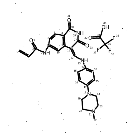 C=CC(=O)Nc1ccc2c(c1)C(=CNc1ccc(N3CCN(C)CC3)cc1)C(=O)NC2=O.O=C(O)C(F)(F)F